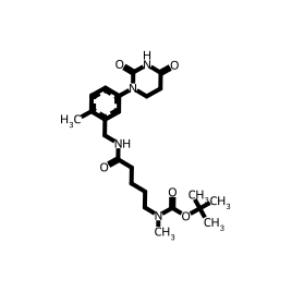 Cc1ccc(N2CCC(=O)NC2=O)cc1CNC(=O)CCCCN(C)C(=O)OC(C)(C)C